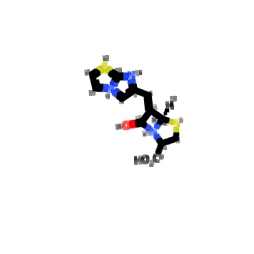 O=C(O)C1CS[C@@H]2C(=Cc3cn4ccsc4n3)C(=O)N12